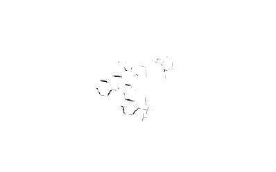 O=C(NCCCN1CCCC1=O)c1cc2ccccc2n(-c2cccc(C(F)(F)F)c2)c1=O